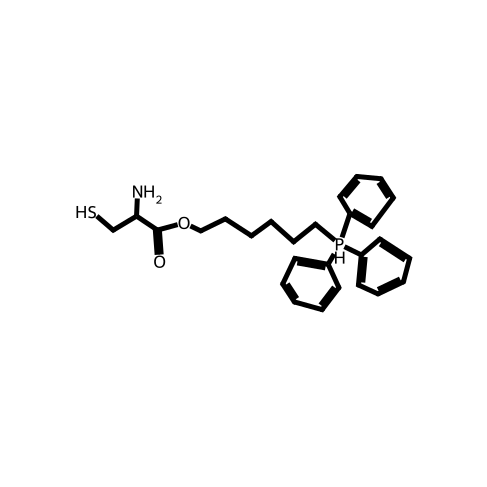 NC(CS)C(=O)OCCCCCC[PH](c1ccccc1)(c1ccccc1)c1ccccc1